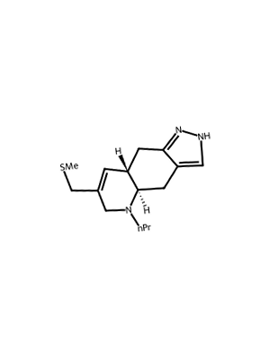 CCCN1CC(CSC)=C[C@@H]2Cc3n[nH]cc3C[C@H]21